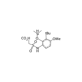 COc1ccc(NS(=O)(=O)CC(=O)O)c(O[SiH](C)C)c1C(C)(C)C